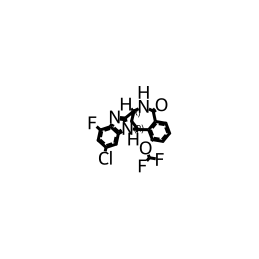 O=C1N[C@@H]2C[C@H](c3c(OC(F)F)cccc31)n1c2nc2c(F)cc(Cl)cc21